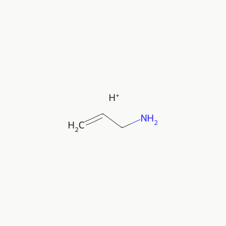 C=CCN.[H+]